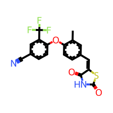 Cc1cc(C=C2SC(=O)NC2=O)ccc1Oc1ccc(C#N)cc1C(F)(F)F